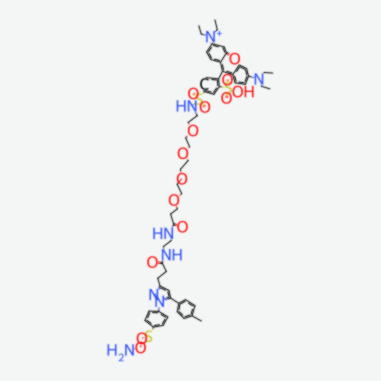 CCN(CC)c1ccc2c(-c3ccc(S(=O)(=O)NCCOCCOCCOCCOCCC(=O)NCCNC(=O)CCc4cc(-c5ccc(C)cc5)n(-c5ccc(SOON)cc5)n4)cc3S(=O)(=O)O)c3ccc(=[N+](CC)CC)cc-3oc2c1